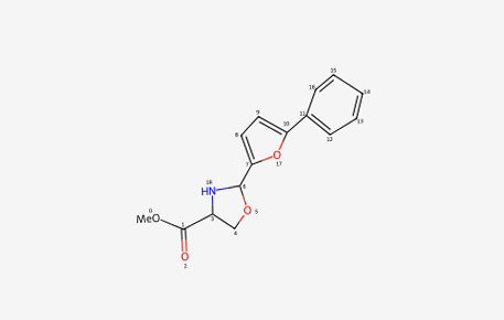 COC(=O)C1COC(c2ccc(-c3ccccc3)o2)N1